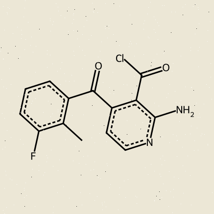 Cc1c(F)cccc1C(=O)c1ccnc(N)c1C(=O)Cl